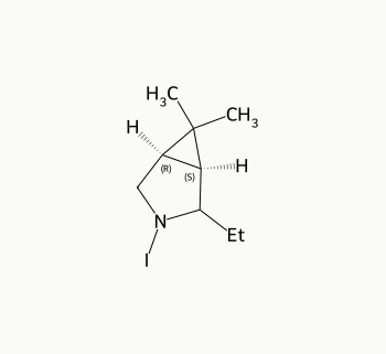 CCC1[C@H]2[C@@H](CN1I)C2(C)C